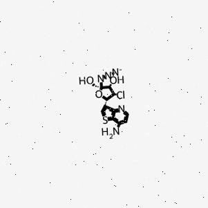 [N-]=[N+]=N[C@]1(CO)O[C@@H](c2csc3c(N)ccnc23)[C@H](Cl)[C@@H]1O